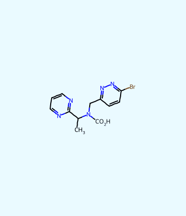 CC(c1ncccn1)N(Cc1ccc(Br)nn1)C(=O)O